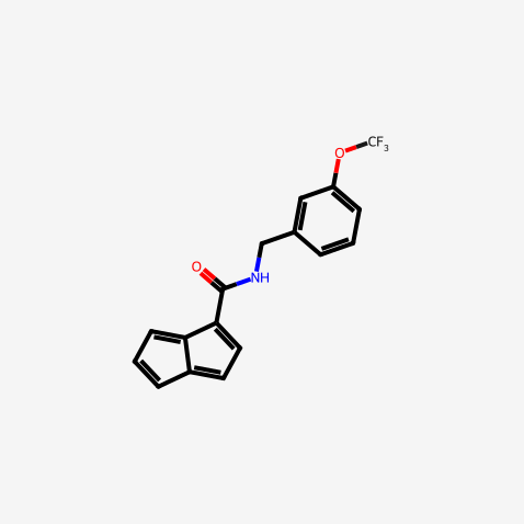 O=C(NCc1cccc(OC(F)(F)F)c1)C1=CC=C2C=CC=C21